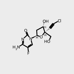 Nc1nc(=O)n([C@H]2C[C@H](O)[C@@](C#CCl)(CO)O2)cc1F